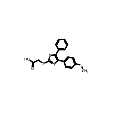 CSc1ccc(-c2nc(SCC(=O)O)sc2-c2ccccc2)cc1